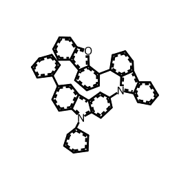 c1ccc(-c2ccc3c(c2)c2cc(-n4c5ccccc5c5cccc(-c6cccc7c6oc6ccccc67)c54)ccc2n3-c2ccccc2)cc1